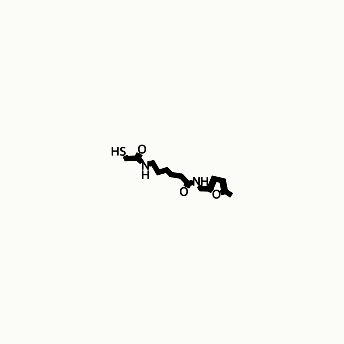 Cc1ccc(CNC(=O)CCCCCNC(=O)CS)o1